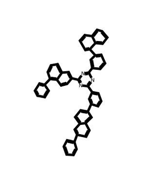 c1ccc(-c2ccc3cc(-c4cccc(-c5nc(-c6cccc(-c7cccc8ccccc78)c6)nc(-c6ccc7c(-c8ccccc8)cccc7c6)n5)c4)ccc3c2)cc1